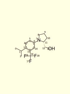 CC(C)c1ccc(N2CCC[C@@H]2CO)cc1C(F)(F)F